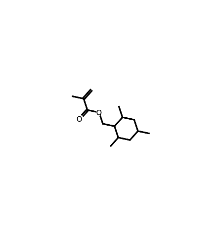 C=C(C)C(=O)OCC1C(C)CC(C)CC1C